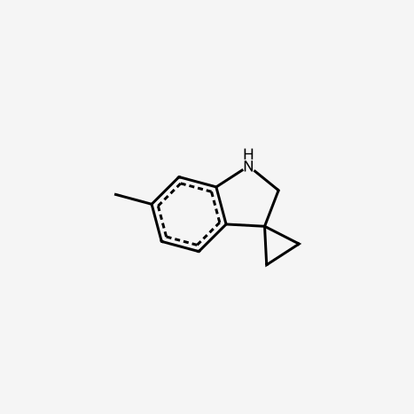 Cc1ccc2c(c1)NCC21CC1